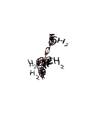 C=C(C(=O)Oc1ccc(C#Cc2c(OC(=O)C(=C)C(F)(F)F)cc(C#Cc3ccc(OC/C=C/c4ccc(OC(=O)C(=C)C(F)(F)F)cc4)cc3)cc2OC(=O)C(=C)C(F)(F)F)cc1)C(F)(F)F